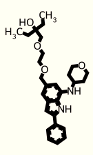 CCC(O)(CC)COCCOCc1cc(NC2CCOCC2)c2[nH]c(-c3ccccc3)cc2c1